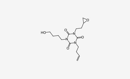 C=CCCn1c(=O)n(CCCCO)c(=O)n(CCC2CO2)c1=O